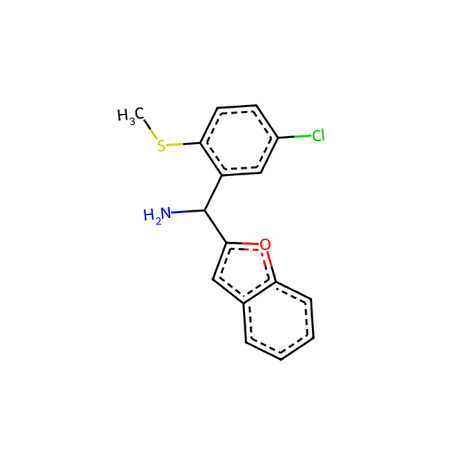 CSc1ccc(Cl)cc1C(N)c1cc2ccccc2o1